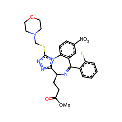 COC(=O)CC[C@@H]1N=C(c2ccccc2F)c2cc([N+](=O)[O-])ccc2-n2c(SCN3CCOCC3)nnc21